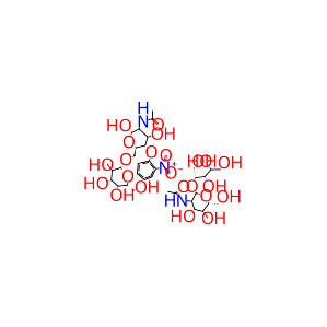 CC(=O)N[C@@H]1[C@@H](O)[C@H](Oc2ccccc2[N+](=O)[O-])[C@@H](CO[C@@H]2O[C@H](CO)[C@H](O)[C@H](O)[C@H]2O)O[C@H]1O.CC(=O)N[C@H]1[C@H](O[C@H](CO)[C@@H](O)[C@@H](O)CO)O[C@H](CO)[C@@H](O)[C@@H]1O